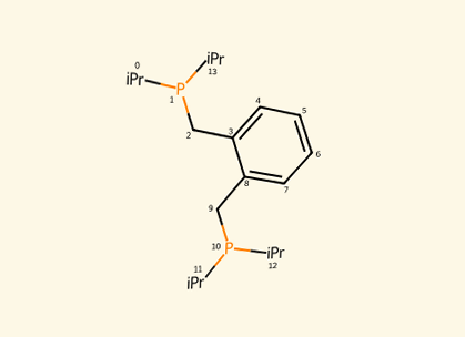 CC(C)P(Cc1ccccc1CP(C(C)C)C(C)C)C(C)C